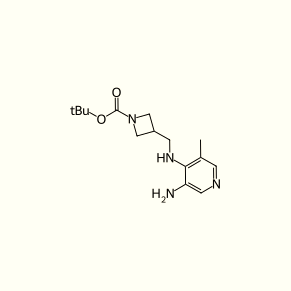 Cc1cncc(N)c1NCC1CN(C(=O)OC(C)(C)C)C1